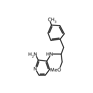 COCC(Cc1ccc(C)cc1)Nc1cccnc1N